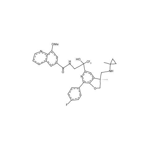 COc1cc(C(=O)NCC(O)(c2cc3c(c(-c4ccc(F)cc4)n2)OC[C@]3(C)CNC2(C)CC2)C(F)(F)F)cc2cccnc12